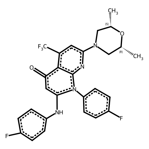 C[C@@H]1CN(c2cc(C(F)(F)F)c3c(=O)cc(Nc4ccc(F)cc4)n(-c4ccc(F)cc4)c3n2)C[C@H](C)O1